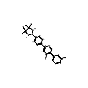 Cc1cccc(-c2cnc(-c3ccc(B4OC(C)(C)C(C)(C)O4)cc3)cc2C)c1